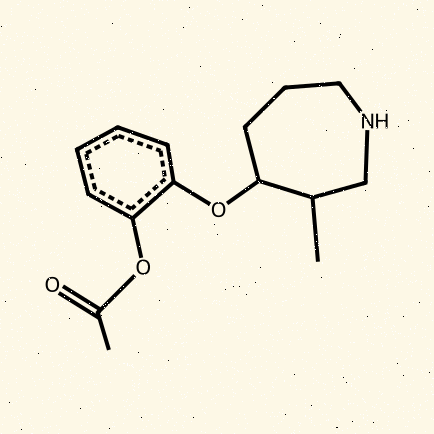 CC(=O)Oc1ccccc1OC1CCCNCC1C